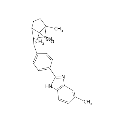 Cc1ccc2[nH]c(-c3ccc(C=C4C(=O)C5(C)CCC4C5(C)C)cc3)nc2c1